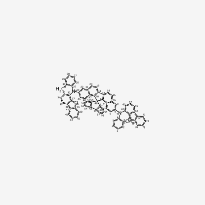 Cc1ccccc1N(c1ccc2c3c(ccc2c1)-c1ccc2cc(N(c4ccccc4C)c4cccc5c4oc4ccccc45)ccc2c1C31c2ccccc2-c2ccccc21)c1cccc2c1oc1ccccc12